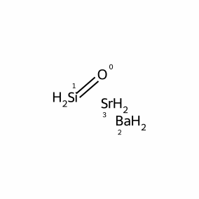 O=[SiH2].[BaH2].[SrH2]